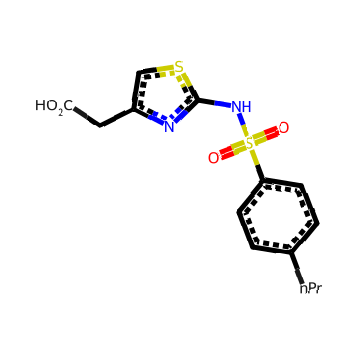 CCCc1ccc(S(=O)(=O)Nc2nc(CC(=O)O)cs2)cc1